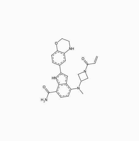 C=CC(=O)N1CC(N(C)c2ccc(C(N)=O)c3[nH]c(-c4ccc5c(c4)NCCO5)cc23)C1